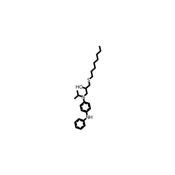 CCCCCCCCSCC(O)CN(c1ccc(Nc2ccccc2)cc1)C(C)C